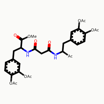 COC(=O)C(Cc1ccc(OC(C)=O)c(OC(C)=O)c1)NC(=O)CC(=O)NC(Cc1ccc(OC(C)=O)c(OC(C)=O)c1)C(C)=O